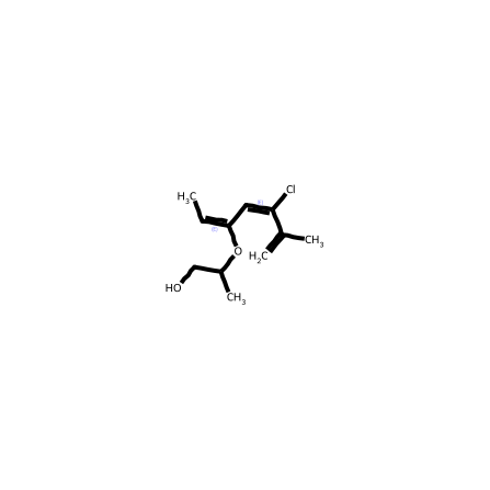 C=C(C)/C(Cl)=C\C(=C/C)OC(C)CO